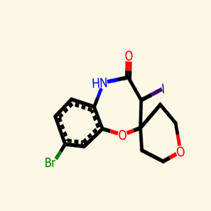 O=C1Nc2ccc(Br)cc2OC2(CCOCC2)C1I